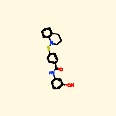 O=C(Nc1cccc(O)c1)c1ccc(SN2CCCc3ccccc32)cc1